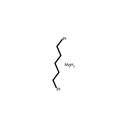 [CH2]C(C)CCCCCC(C)C.[MgH2]